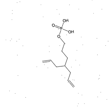 C=CCC(CC=C)CCCOP(=O)(O)O